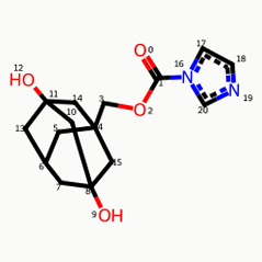 O=C(OCC12CC3CC(O)(CC(O)(C3)C1)C2)n1ccnc1